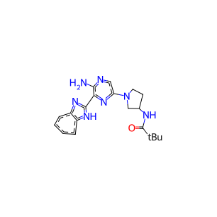 CC(C)(C)C(=O)NC1CCN(c2cnc(N)c(-c3nc4ccccc4[nH]3)n2)C1